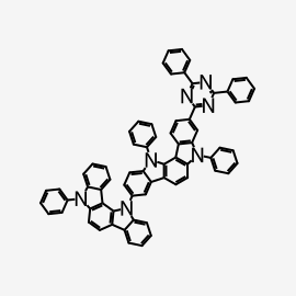 c1ccc(-c2nc(-c3ccccc3)nc(-c3ccc4c5c(ccc6c7cc(-n8c9ccccc9c9ccc%10c(c%11ccccc%11n%10-c%10ccccc%10)c98)ccc7n(-c7ccccc7)c65)n(-c5ccccc5)c4c3)n2)cc1